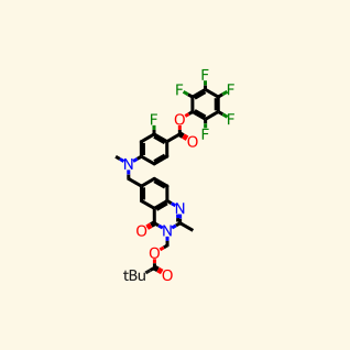 Cc1nc2ccc(CN(C)c3ccc(C(=O)Oc4c(F)c(F)c(F)c(F)c4F)c(F)c3)cc2c(=O)n1COC(=O)C(C)(C)C